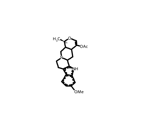 COc1ccc2c3c([nH]c2c1)C1CC2C(OC(C)=O)=CO[C@H](C)C2CN1CC3